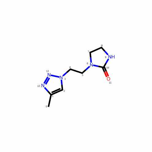 Cc1cn(CCN2CCNC2=O)nn1